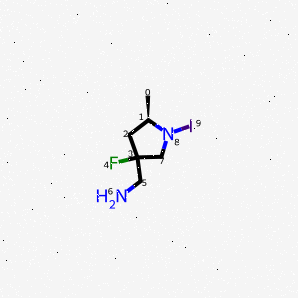 C[C@@H]1CC(F)(CN)CN1I